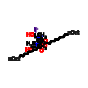 CCCCCCCCC=CCCCCCCCC(=O)OC(C[N+](C)(C)CCO)C(C[N+](C)(C)CCO)OC(=O)CCCCCCCC=CCCCCCCCC.[I-].[I-]